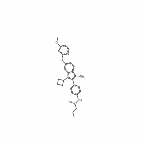 CCC[S+]([O-])Nc1ccc(-c2c(N)c3ccc(Oc4nccc(OC)n4)cc3n2C2CCC2)cc1